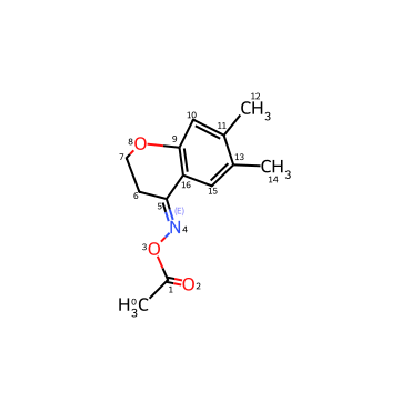 CC(=O)O/N=C1\CCOc2cc(C)c(C)cc21